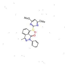 COc1cc(OC)nc([S+]([O-])c2cccc3c(C)nn(-c4ccccc4)c(=O)c23)n1